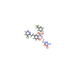 O=c1[nH]nc(CC[C@H]2CN(S(=O)(=O)c3cccc(C(F)(F)F)c3)c3cc(/C=C/c4ncccc4Cl)ccc3O2)o1